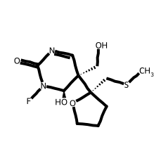 CSC[C@]1([C@]2(CO)C=NC(=O)N(F)[C@@H]2O)CCCO1